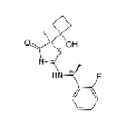 C[C@H](NC1=NC(=O)C(C)(C2(O)CCC2)S1)c1ccccc1F